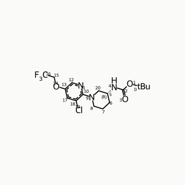 CC(C)(C)OC(=O)N[C@@H]1CCCN(c2ncc(OCC(F)(F)F)cc2Cl)C1